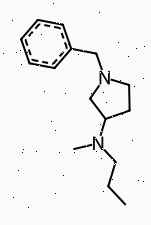 CCCN(C)C1CCN(Cc2ccccc2)C1